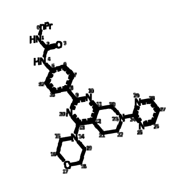 CCCNC(=O)Nc1ccc(-c2nc3c(c(N4CCOCC4)n2)CCN(c2ncccn2)C3)cc1